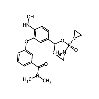 CC(OP(=O)(N1CC1)N1CC1)c1ccc(NO)c(Oc2cccc(C(=O)N(C)C)c2)c1